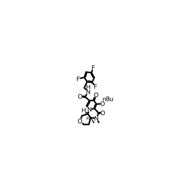 CCCCOc1c2n(cc(C(=O)NCc3c(F)cc(F)cc3F)c1=O)[C@H]1COCC[C@@]1(C)N(C)C2=O